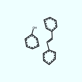 C(=Cc1ccccc1)c1ccccc1.Oc1ccccc1